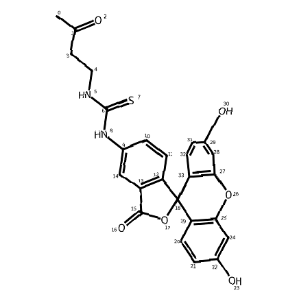 CC(=O)CCNC(=S)Nc1ccc2c(c1)C(=O)OC21c2ccc(O)cc2Oc2cc(O)ccc21